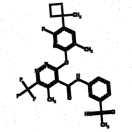 Cc1cc(C2(C)CCC2)c(F)nc1Oc1nnc(C(F)(F)F)c(C)c1C(=O)Nc1cccc(S(C)(=N)=O)c1